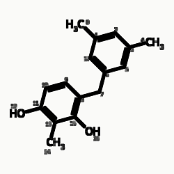 Cc1cc(C)cc(Cc2ccc(O)c(C)c2O)c1